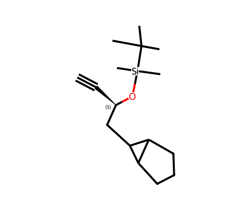 C#C[C@H](CC1C2CCCC21)O[Si](C)(C)C(C)(C)C